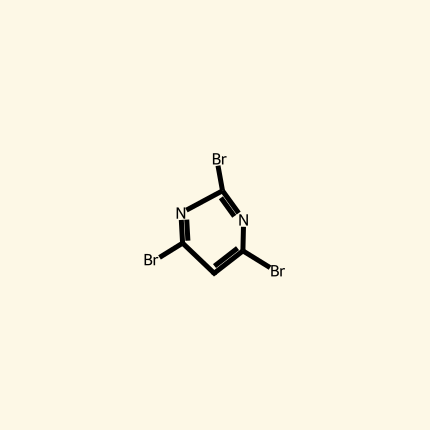 Brc1cc(Br)nc(Br)n1